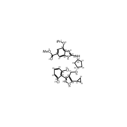 COC(=O)c1cc(OC(C)C)c2nc(N[C@@H]3CC[C@H](OCc4c(-c5c(Cl)cccc5Cl)noc4C4CC4)C3)sc2c1